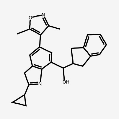 Cc1noc(C)c1-c1cc2c(c(C(O)C3Cc4ccccc4C3)c1)N=C(C1CC1)C2